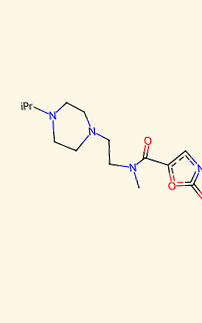 CC(C)N1CCN(CCN(C)C(=O)c2c[nH]c(=O)o2)CC1